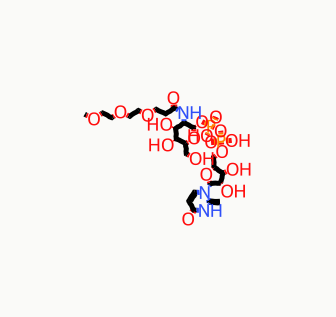 C=C1NC(=O)C=CN1C1OC(COP(=O)(O)OP(=O)(O)O[C@H]2OC(CO)[C@H](O)[C@H](O)C2NC(=O)CCOCCOCCOC)C(O)C1O